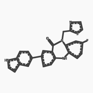 O=C1c2cc(-c3ccc4[nH]ccc4c3)ccc2Nc2ccc(F)cc2N1Cc1nccs1